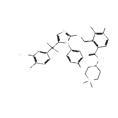 COc1cc(C(C)(C)c2cnc(SCc3c(C(=O)NC4CC[N+](C)(C)CC4)ccc(F)c3Cl)n2-c2ccc(F)cc2)ccc1Cl